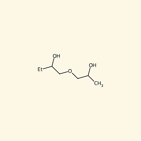 CCC(O)COCC(C)O